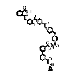 CC(C)(NC(=O)c1cccc(C2CCCN(C(=O)CNC3CC3)C2)c1)C(=O)N1CCN(CC2CCN(CC(=O)N3CCN(C(=O)c4cc(Cc5n[nH]c(=O)c6ccccc56)ccc4F)CC3)CC2)CC1